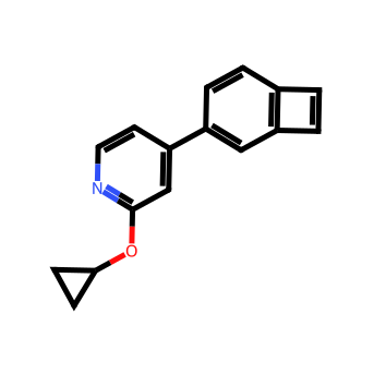 C1=Cc2cc(-c3ccnc(OC4CC4)c3)ccc21